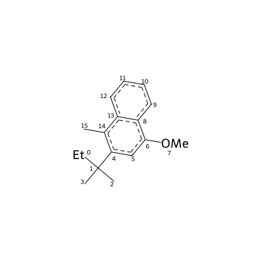 CCC(C)(C)c1cc(OC)c2ccccc2c1C